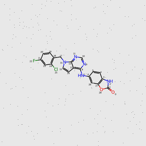 O=c1[nH]c2ccc(Nc3ncnc4c3ccn4Cc3ccc(F)cc3Cl)cc2o1